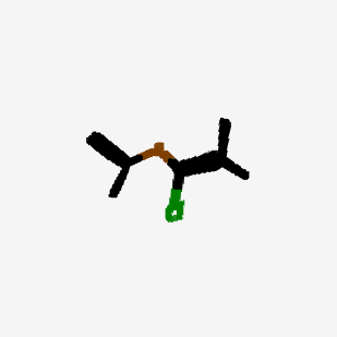 C=C(C)SC(Cl)=C(C)C